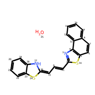 C(=Cc1nc2c(ccc3ccccc32)s1)C=C1Nc2ccccc2S1.O